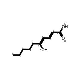 CCCCC/C(O)=C/C=C/C(=O)O